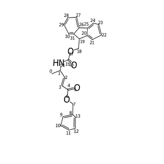 CC(C=CC(=O)OCc1ccccc1)NC(=O)OCC1c2ccccc2-c2ccccc21